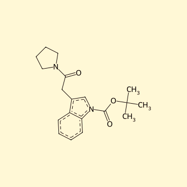 CC(C)(C)OC(=O)n1cc(CC(=O)N2CCCC2)c2ccccc21